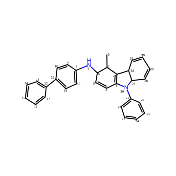 CC1C2=C(C=CC1Nc1ccc(-c3ccccc3)cc1)N(c1ccccc1)C1C=CC=CC21